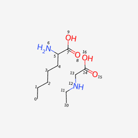 CCCCCC(N)C(=O)O.CCNCC(=O)O